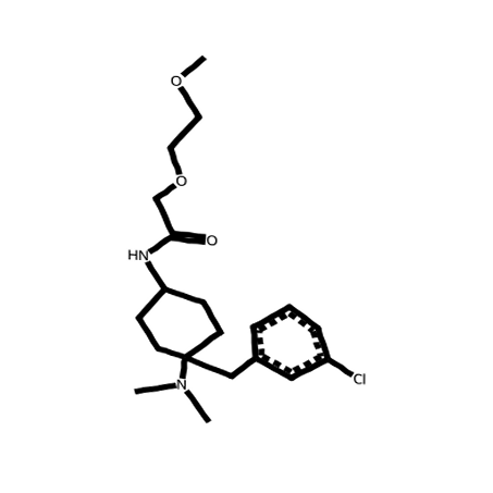 COCCOCC(=O)NC1CCC(Cc2cccc(Cl)c2)(N(C)C)CC1